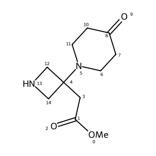 COC(=O)CC1(N2CCC(=O)CC2)CNC1